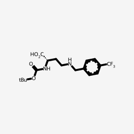 CC(C)(C)OC(=O)N[C@@H](CCNCc1ccc(C(F)(F)F)cc1)C(=O)O